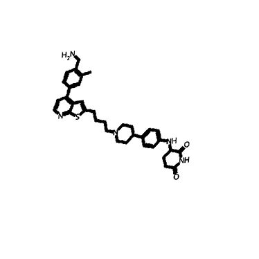 Cc1cc(-c2ccnc3sc(CCCCN4CCC(c5ccc(NC6CCC(=O)NC6=O)cc5)CC4)cc23)ccc1CN